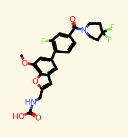 COc1cc(-c2ccc(C(=O)N3CCC(F)(F)CC3)cc2F)cc2cc(CNC(=O)O)oc12